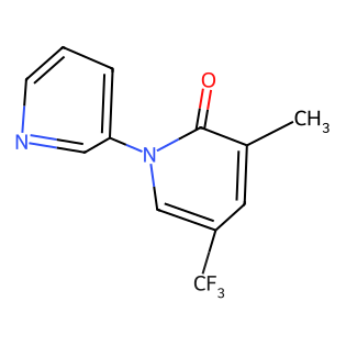 Cc1cc(C(F)(F)F)cn(-c2cccnc2)c1=O